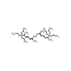 CCO[Si](OCC)(OCC)C(C)N=CN=C(C)SSSC(C)=NC=NC(C)[Si](OCC)(OCC)OCC